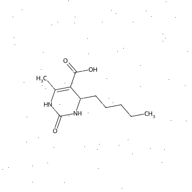 CCCCCC1NC(=O)NC(C)=C1C(=O)O